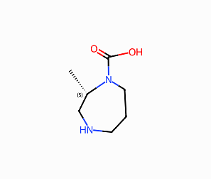 C[C@H]1CNCCCN1C(=O)O